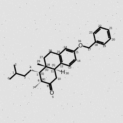 CC(C)CC[C@H]1[C@@H](C)C(=O)C[C@@H]2c3ccc(OCc4ccccc4)cc3CC[C@]21C